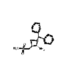 CS(=O)(=O)C[C@H]1CN(C(c2ccccc2)c2ccccc2)[C@@H]1N